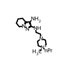 CCC[N+]1(C)CCN(CCNc2nn3c(c2N)CCCC3)CC1